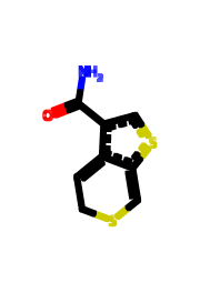 NC(=O)c1csc2c1=CCSC=2